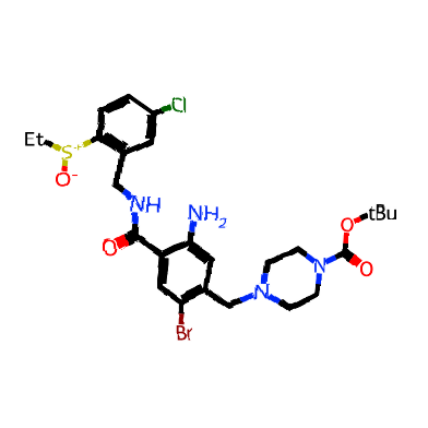 CC[S+]([O-])c1ccc(Cl)cc1CNC(=O)c1cc(Br)c(CN2CCN(C(=O)OC(C)(C)C)CC2)cc1N